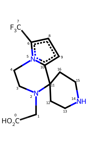 O=C(O)CN1CCn2c(C(F)(F)F)ccc2C12CCNCC2